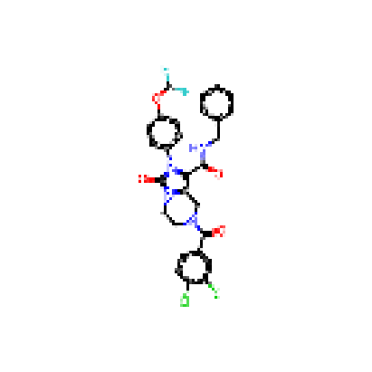 O=C(NCc1ccccc1)c1c2n(c(=O)n1-c1ccc(OC(F)F)cc1)CCN(C(=O)c1ccc(Cl)c(Cl)c1)C2